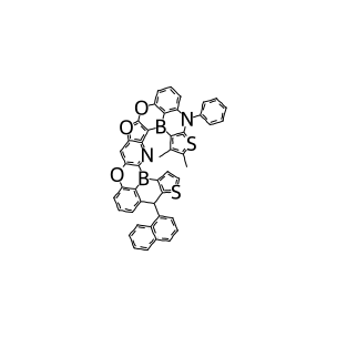 Cc1sc2c(c1C)B1c3c(cccc3N2c2ccccc2)Oc2oc3cc4c(nc3c21)B1c2ccsc2C(c2cccc3ccccc23)c2cccc(c21)O4